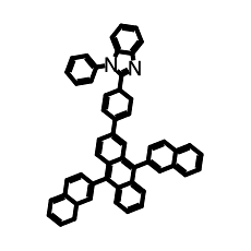 C1=CCC2C=C(c3c4ccccc4c(-c4ccc5ccccc5c4)c4cc(C5=CCC(c6nc7ccccc7n6-c6ccccc6)C=C5)ccc34)C=CC2=C1